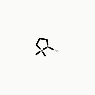 CCCCN1CCC[Si]1(C)C